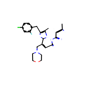 CC1=C(Cc2ccc(Cl)cc2F)NC(/C(=C\C(=N)NC(=N)/C=C(/C)N)CN2CCOCC2)N1